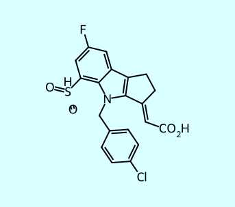 O=C(O)/C=C1\CCc2c1n(Cc1ccc(Cl)cc1)c1c([SH](=O)=O)cc(F)cc21